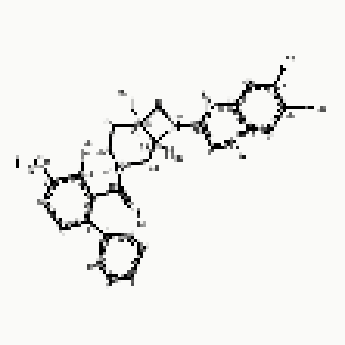 Cc1ccc(-c2ccccc2)c(C(=O)N2CC[C@H]3CN(c4cnc5cc(F)c(F)cc5n4)[C@H]3C2)c1F